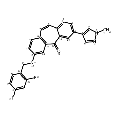 Cn1cc(-c2cnc3ccc4ccc(NCc5ccc(F)cc5F)cc4c(=O)c3c2)cn1